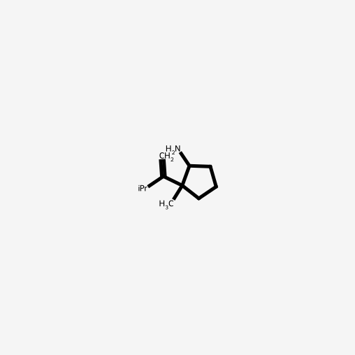 C=C(C(C)C)C1(C)CCCC1N